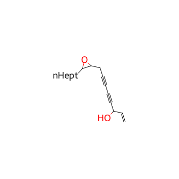 C=CC(O)C#CC#CCC1OC1CCCCCCC